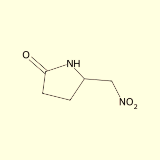 O=C1CCC(C[N+](=O)[O-])N1